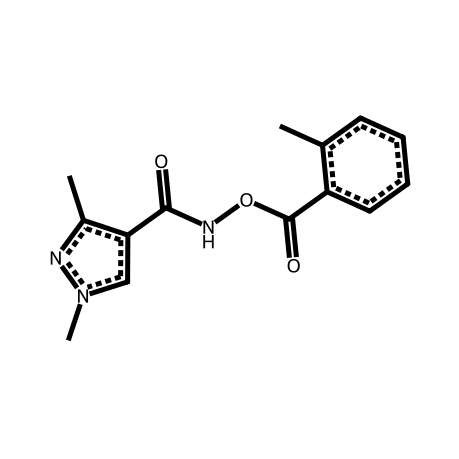 Cc1ccccc1C(=O)ONC(=O)c1cn(C)nc1C